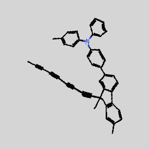 CC#CC#CC#CC#CC1(C)c2cc(C)ccc2-c2ccc(-c3ccc(N(c4ccccc4)c4ccc(C)cc4)cc3)cc21